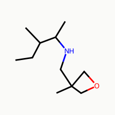 CCC(C)C(C)NCC1(C)COC1